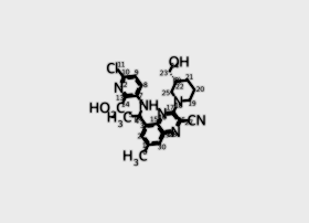 Cc1cc([C@@H](C)Nc2ccc(Cl)nc2C(=O)O)c2nc(N3CCC[C@@H](CO)C3)c(C#N)nc2c1